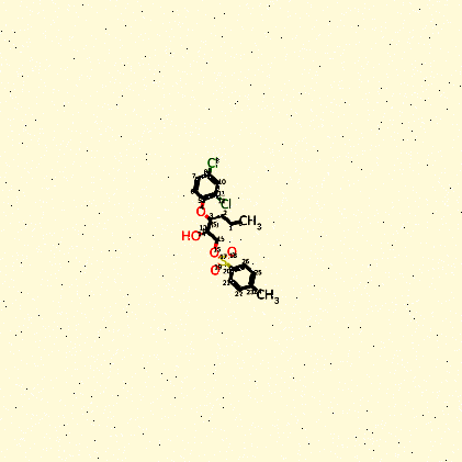 CCC[C@H](Oc1ccc(Cl)cc1Cl)[C@@H](O)COS(=O)(=O)c1ccc(C)cc1